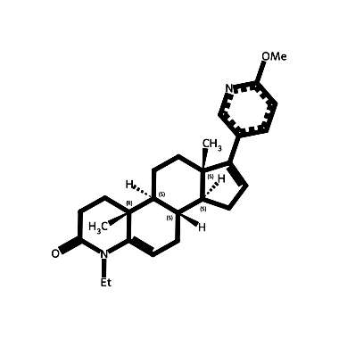 CCN1C(=O)CC[C@@]2(C)C1=CC[C@@H]1[C@@H]2CC[C@]2(C)C(c3ccc(OC)nc3)=CC[C@@H]12